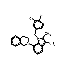 Cc1c(C)n(Cc2ccc(Cl)c(Cl)c2)c2c(N3CCc4ccccc4C3)nccc12